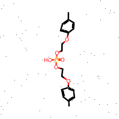 Cc1ccc(OCCOP(=O)(O)OCCOc2ccc(C)cc2)cc1